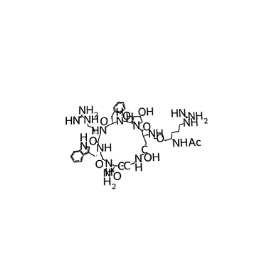 CC(=O)N[C@@H](CCCNC(=N)N)COCN[C@H]1CCC(O)NCCC[C@@H](C(N)=O)NC(=O)[C@H](Cc2c[nH]c3ccccc23)NC(=O)[C@H](CCCNC(=N)N)NC(=O)[C@@H](Cc2ccccc2)NC(=O)[C@@H]2C[C@@H](O)CN2C1=O